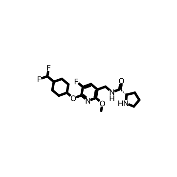 COc1nc(OC2CCC(C(F)F)CC2)c(F)cc1CNC(=O)[C@@H]1CCCN1